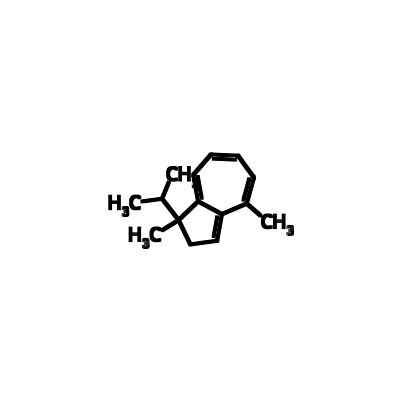 CC1=CC=CC=C2C1=CCC2(C)C(C)C